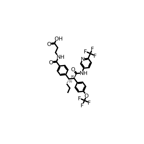 CCC[C@H](c1ccc(C(=O)NCCC(=O)O)cc1)[C@@H](C(=O)Nc1ccc(C(F)(F)F)nc1)c1ccc(OC(F)(F)F)cc1